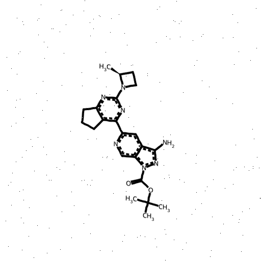 C[C@H]1CCN1c1nc2c(c(-c3cc4c(N)nn(C(=O)OC(C)(C)C)c4cn3)n1)CCC2